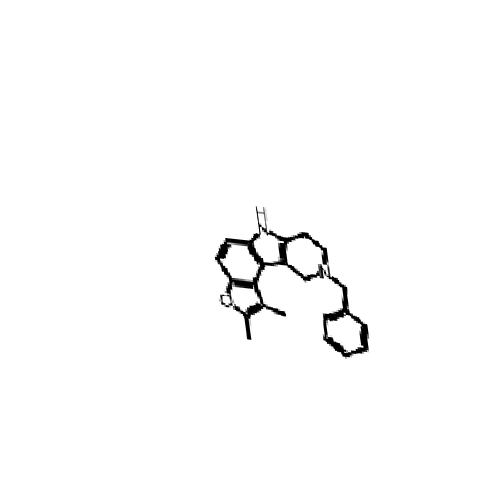 Cc1oc2ccc3[nH]c4c(c3c2c1C)CN(Cc1ccccc1)CC4